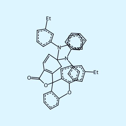 CCc1cccc(N(c2ccccc2)C2(N(c3ccccc3)c3cccc(CC)c3)C=CC3=C(C2)C2(OC3=O)c3ccccc3Oc3ccccc32)c1